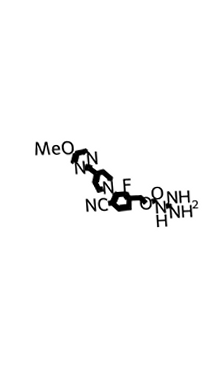 COc1cnc(C2=CCN(c3c(C#N)ccc(COC(=O)NC(=N)N)c3F)CC2)nc1